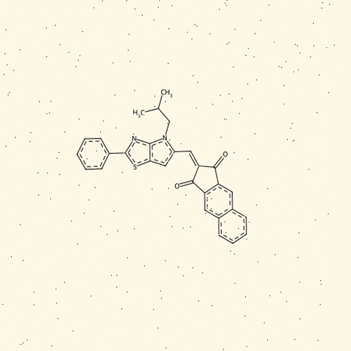 CC(C)Cn1c(C=C2C(=O)c3cc4ccccc4cc3C2=O)cc2sc(-c3ccccc3)nc21